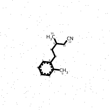 Cc1ccccc1CCC(C)CC#N